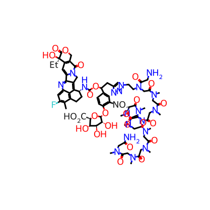 CC[C@]1(O)C(=O)OCc2c1cc1n(c2=O)Cc2c-1nc1cc(F)c(C)c3c1c2[C@H](NC(=O)OC(Cc1cn(CCN(CC(=O)N(C)CC(=O)N(C)CC(=O)N(C)CC(=O)N(C)CC(=O)N(C)CC(=O)N(C)CC(=O)N(C)CC(=O)N(C)CC(=O)N(C)CC(=O)N(C)CC(N)=O)C(=O)CN)nn1)c1ccc(O[C@@H]2O[C@H](C(=O)O)[C@@H](O)[C@H](O)[C@H]2O)c([N+](=O)[O-])c1)CC3